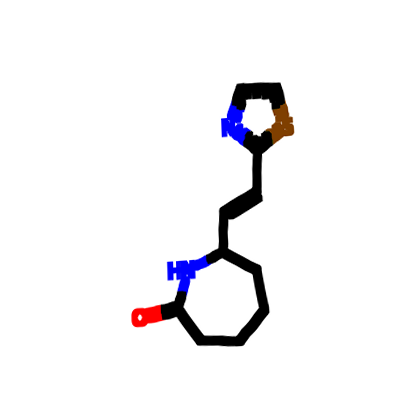 O=C1CCCCC(/C=C/c2nccs2)N1